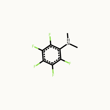 C[SiH](C)c1c(F)c(F)c(F)c(F)c1F